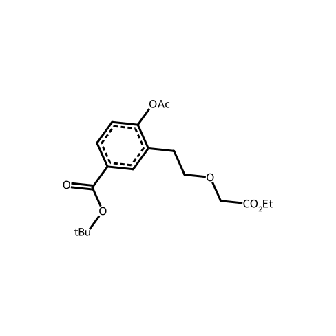 CCOC(=O)COCCc1cc(C(=O)OC(C)(C)C)ccc1OC(C)=O